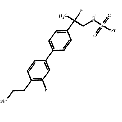 CC(=O)NCCc1ccc(-c2ccc(C(C)(F)CNS(=O)(=O)C(C)C)cc2)cc1F